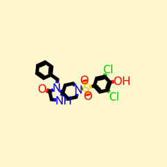 O=C1CNC2(CCN(S(=O)(=O)c3cc(Cl)c(O)c(Cl)c3)CC2)N1Cc1ccccc1